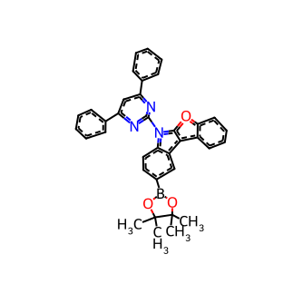 CC1(C)OB(c2ccc3c(c2)c2c4ccccc4oc2n3-c2nc(-c3ccccc3)cc(-c3ccccc3)n2)OC1(C)C